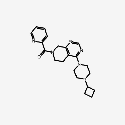 O=C(c1ccccn1)N1CCc2c(ncnc2N2CCN(C3CCC3)CC2)C1